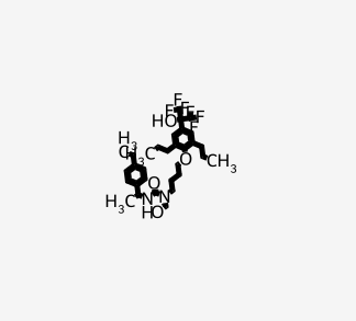 CCCc1cc(C(O)(C(F)(F)F)C(F)(F)F)cc(CCC)c1OCCCCN(C=O)C(=O)NC(C)c1ccc(CC)cc1